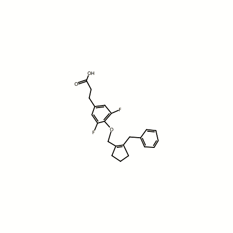 O=C(O)CCc1cc(F)c(OCC2=C(Cc3ccccc3)CCC2)c(F)c1